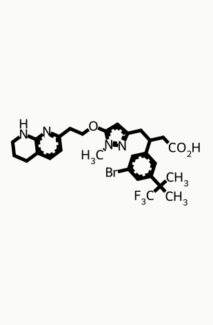 Cn1nc(CC(CC(=O)O)c2cc(Br)cc(C(C)(C)C(F)(F)F)c2)cc1OCCc1ccc2c(n1)NCCC2